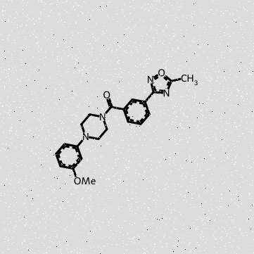 COc1cccc(N2CCN(C(=O)c3cccc(-c4noc(C)n4)c3)CC2)c1